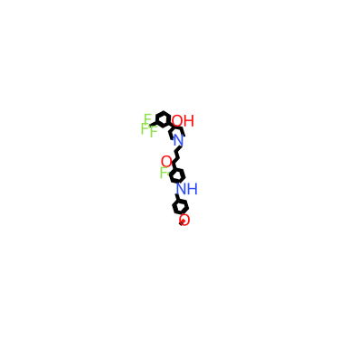 COc1ccc(CNc2ccc(C(=O)CCCN3CCC(O)(c4cccc(C(F)(F)F)c4)CC3)c(F)c2)cc1